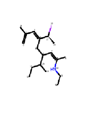 C=C(C)/C=C(\CC(/C=C(/C)NCC)C(C)CC)[C@H](C)I